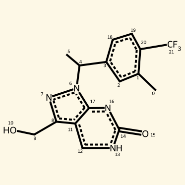 Cc1cc(C(C)n2nc(CO)c3c[nH]c(=O)nc32)ccc1C(F)(F)F